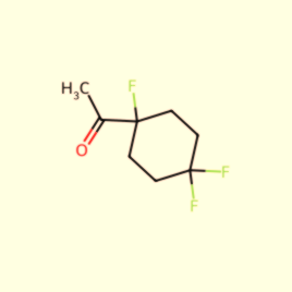 CC(=O)C1(F)CCC(F)(F)CC1